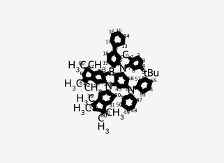 Cc1ccc(C(C)(C)C)cc1N1c2cc(-c3ccccc3)ccc2B2c3cc4c(cc3N(c3ccc5c(c3)C(C)(C)CC5(C)C)c3cc(N(c5ccccc5)c5ccccc5)cc1c32)C(C)(C)CC4(C)C